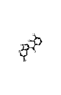 O=C(c1cccc(Cl)c1Cl)c1c[nH]c2ncc(Br)cc12